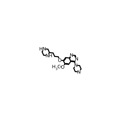 COc1cc2c(N3CC[N]CC3)ncnc2cc1OCCCC1CNCCN1